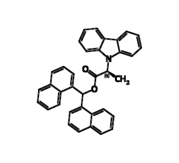 C[C@@H](C(=O)OC(c1cccc2ccccc12)c1cccc2ccccc12)n1c2ccccc2c2ccccc21